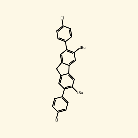 CC(C)(C)c1cc2c(cc1-c1ccc(Cl)cc1)Cc1cc(-c3ccc(Cl)cc3)c(C(C)(C)C)cc1-2